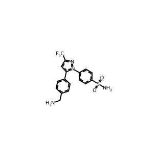 NCc1ccc(-c2cc(C(F)(F)F)nn2-c2ccc(S(N)(=O)=O)cc2)cc1